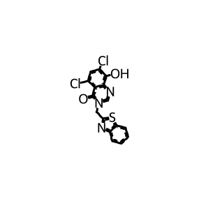 O=c1c2c(Cl)cc(Cl)c(O)c2ncn1Cc1nc2ccccc2s1